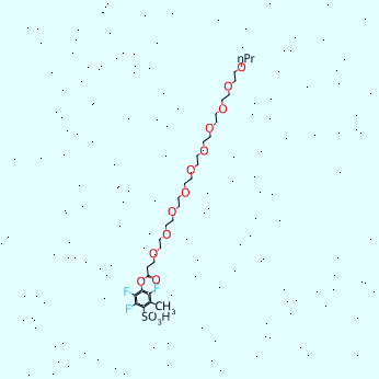 CCCOCCOCCOCCOCCOCCOCCOCCOCCOCCOCCC(=O)Oc1c(F)c(C)c(S(=O)(=O)O)c(F)c1F